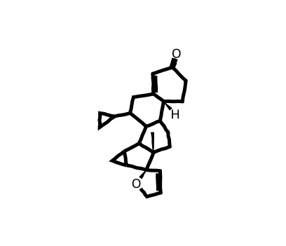 C[C@]12CCC3C(C(C4CC4)CC4=CC(=O)CC[C@@H]43)C1C1CC1[C@@]21C=CCO1